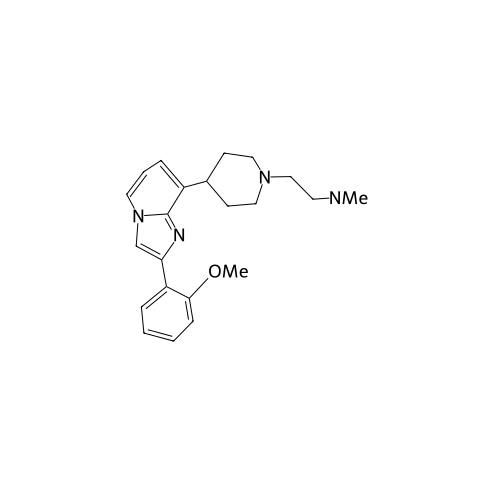 CNCCN1CCC(c2cccn3cc(-c4ccccc4OC)nc23)CC1